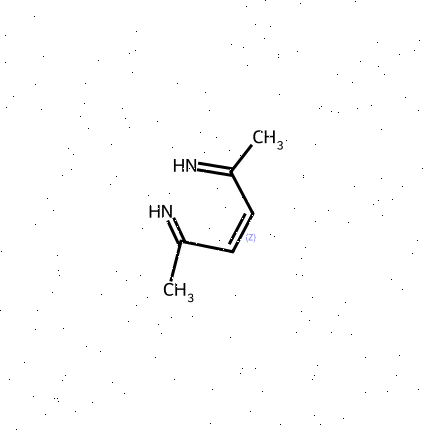 CC(=N)/C=C\C(C)=N